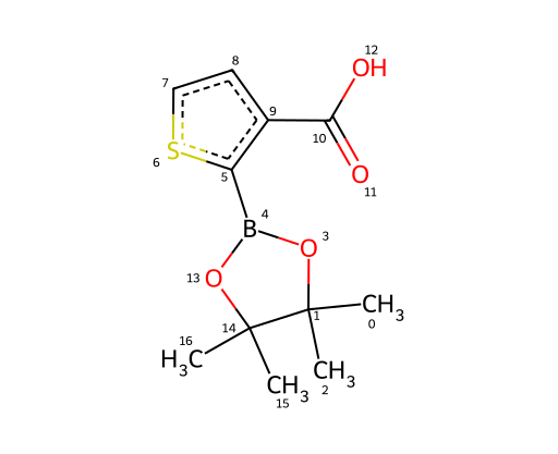 CC1(C)OB(c2sccc2C(=O)O)OC1(C)C